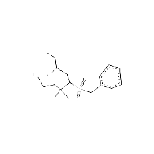 CC(C)CCC(C)(O)C(CC(C)CN)S(=O)(=O)Cc1ccccc1